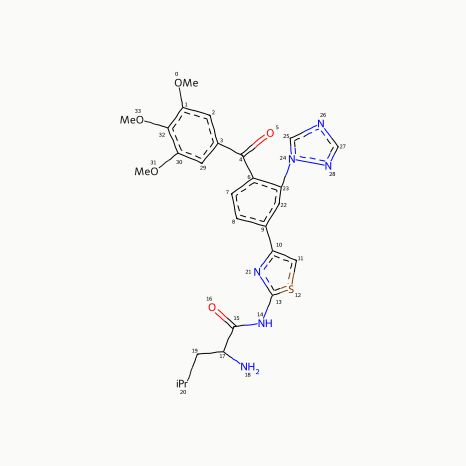 COc1cc(C(=O)c2ccc(-c3csc(NC(=O)C(N)CC(C)C)n3)cc2-n2cncn2)cc(OC)c1OC